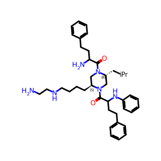 CC(C)C[C@@H]1CN(C(=O)C(CCc2ccccc2)Nc2ccccc2)[C@@H](CCCCNCCN)CN1C(=O)C(N)CCc1ccccc1